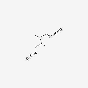 CC(CN=C=O)C(C)CN=C=O